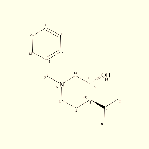 CC(C)[C@H]1CCN(Cc2ccccc2)C[C@@H]1O